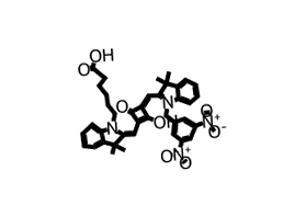 CC1(C)C(/C=C2/C(=O)C(/C=C3\N(CCCCCC(=O)O)c4ccccc4C3(C)C)=C2O)=[N+](Cc2cc([N+](=O)[O-])cc([N+](=O)[O-])c2)c2ccccc21